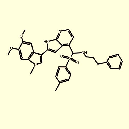 COc1cc2c(-c3cc4c(C(NCCCc5ccccc5)S(=O)(=O)c5ccc(C)cc5)ccnc4[nH]3)cn(C)c2cc1OC